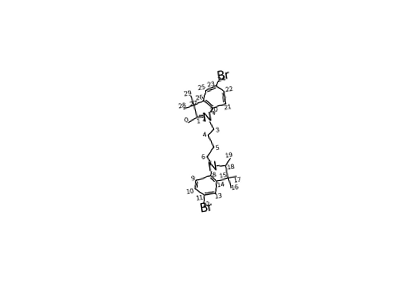 CC1=[N+](CCCCN2c3ccc(Br)cc3C(C)(C)C2C)c2ccc(Br)cc2C1(C)C